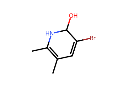 CC1=C(C)NC(O)C(Br)=C1